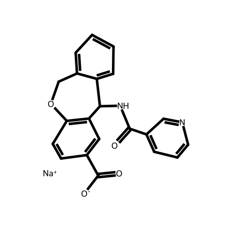 O=C([O-])c1ccc2c(c1)C(NC(=O)c1cccnc1)c1ccccc1CO2.[Na+]